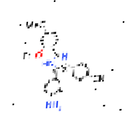 COc1ccc(C2=N[C@H](c3ccc(C#N)cc3)[C@H](c3ccc(N)cc3)N2)c(OC(C)C)c1